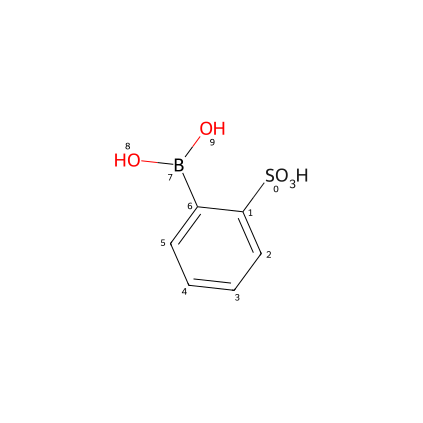 O=S(=O)(O)c1ccccc1B(O)O